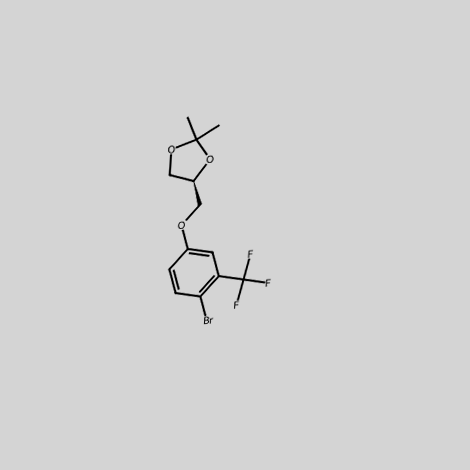 CC1(C)OC[C@H](COc2ccc(Br)c(C(F)(F)F)c2)O1